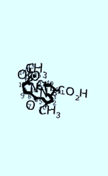 Cc1cc2n(c1C(=O)c1ccc(S(C)(=O)=O)n1C)CCC2C(=O)O